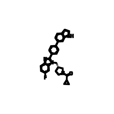 O=C(C1CC1)N1CC[C@H](Cn2c(-c3ccc(-c4ccc5cc[nH]c5c4)cc3)nc3ccc(F)cc32)C1